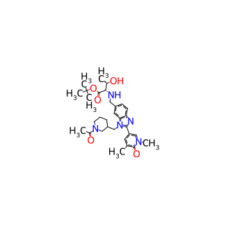 CC(=O)N1CCCC(Cn2c(-c3cc(C)c(=O)n(C)c3)nc3ccc(CN[C@H](C(=O)OC(C)(C)C)[C@@H](C)O)cc32)C1